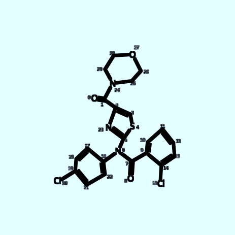 O=C(c1csc(N(C(=O)c2ccccc2Cl)c2ccc(Cl)cc2)n1)N1CCOCC1